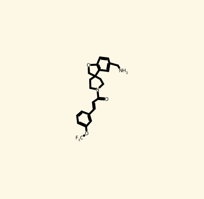 NCc1ccc2c(c1)C1(CCN(C(=O)C=Cc3cccc(OC(F)(F)F)c3)CC1)CO2